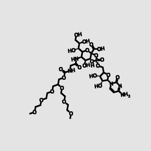 COCCOCCOCC(COC(=O)NCC(=O)N[C@H]1C([C@H](O)[C@H](O)CO)O[C@](OP(=O)(O)OCC2O[C@@H](n3ccc(N)nc3=O)[C@H](O)[C@@H]2O)(C(=O)O)C[C@H]1O)OCCOCCOC